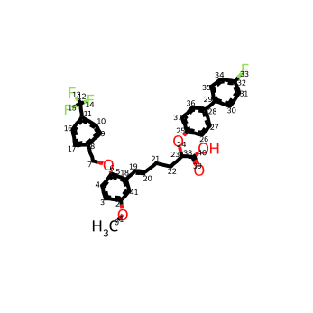 COc1ccc(OCc2ccc(C(F)(F)F)cc2)c(C=CCCC(Oc2ccc(-c3ccc(F)cc3)cc2)C(=O)O)c1